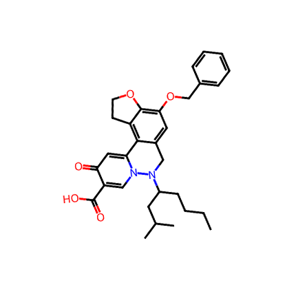 CCCCC(CC(C)C)N1Cc2cc(OCc3ccccc3)c3c(c2-c2cc(=O)c(C(=O)O)cn21)CCO3